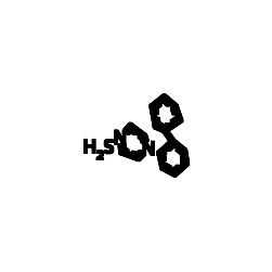 S.c1ccc(-c2ccccc2)cc1.c1cnccn1